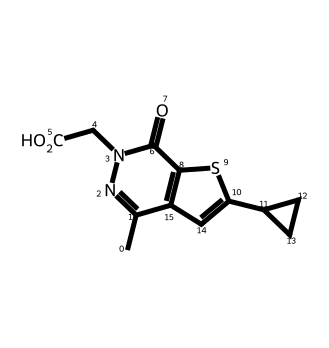 Cc1nn(CC(=O)O)c(=O)c2sc(C3CC3)cc12